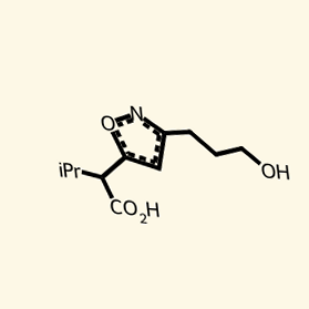 CC(C)C(C(=O)O)c1cc(CCCO)no1